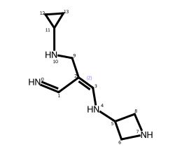 N=C/C(=C\NC1CNC1)CNC1CC1